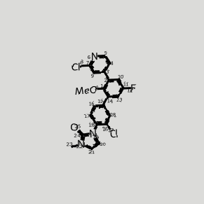 COc1c(-c2ccnc(Cl)c2)cc(F)cc1-c1ccc(-n2ccn(C)c2=O)c(Cl)c1